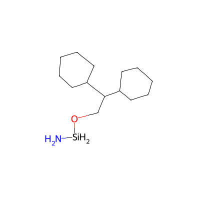 N[SiH2]OCC(C1CCCCC1)C1CCCCC1